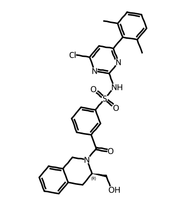 Cc1cccc(C)c1-c1cc(Cl)nc(NS(=O)(=O)c2cccc(C(=O)N3Cc4ccccc4C[C@@H]3CO)c2)n1